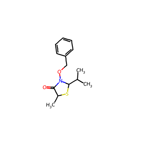 CC1SC(C(C)C)N(OCc2ccccc2)C1=O